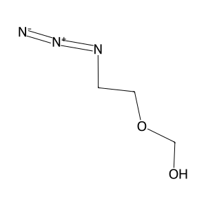 [N-]=[N+]=NCCOCO